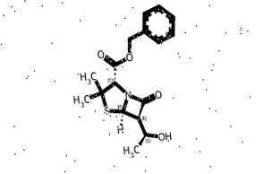 C[C@H](O)[C@@H]1C(=O)N2[C@@H]1SC(C)(C)[C@@H]2C(=O)OCc1ccccc1